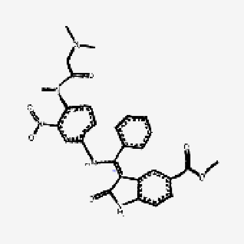 COC(=O)c1ccc2c(c1)/C(=C(/Nc1ccc(N(C)C(=O)CN(C)C)c([N+](=O)[O-])c1)c1ccccc1)C(=O)N2